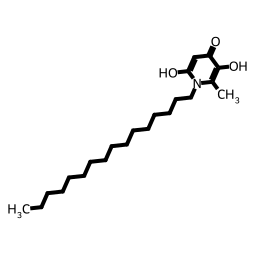 CCCCCCCCCCCCCCCCn1c(O)cc(=O)c(O)c1C